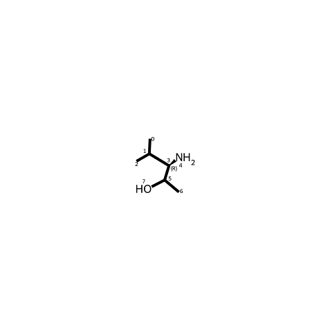 CC(C)[C@@H](N)C(C)O